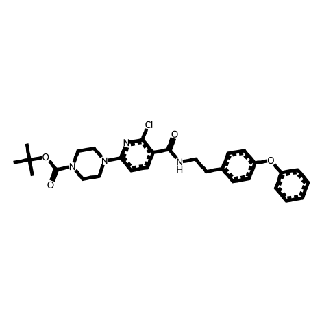 CC(C)(C)OC(=O)N1CCN(c2ccc(C(=O)NCCc3ccc(Oc4ccccc4)cc3)c(Cl)n2)CC1